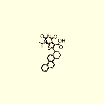 CC(C)n1c(=O)n(C)c(=O)c2c(C(=O)O)c(C3CCCc4c3ccc3c4ccc4ccccc43)sc21